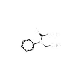 O=CCN(C(=O)C(=O)O)c1ccccc1